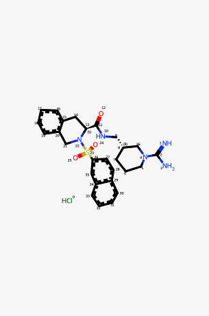 Cl.N=C(N)N1CCC[C@H](CNC(=O)[C@@H]2Cc3ccccc3CN2S(=O)(=O)c2ccc3ccccc3c2)C1